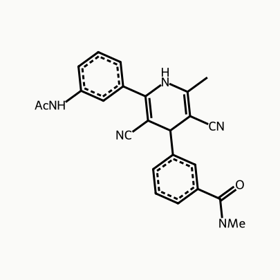 CNC(=O)c1cccc(C2C(C#N)=C(C)NC(c3cccc(NC(C)=O)c3)=C2C#N)c1